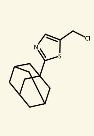 ClCc1cnc(C23CC4CC(CC(C4)C2)C3)s1